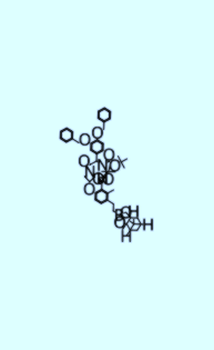 Cc1c(CCB2O[C@@H]3C[C@@H]4C[C@@H](C4(C)C)[C@]3(C)O2)ccc(OC2CN(C(=O)C(NC(=O)OC(C)(C)C)c3ccc(OCc4ccccc4)c(OCc4ccccc4)c3)C2)c1C(=O)OC(C)(C)C